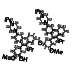 COc1cc(OCc2cccc(/C(=C(\c3ccc(N4CCN(C(C)C)CC4)cc3)c3ccc(OC)c(O)c3)C(C)C)c2)cc(/C(=C(/c2ccccc2)C(C)C)c2ccc(N3CCN(C(C)C)CC3)cc2)c1